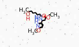 CCOC(=O)CC(N/C=C\C(=N)CCCC(C)O)c1ccc(OC)nc1